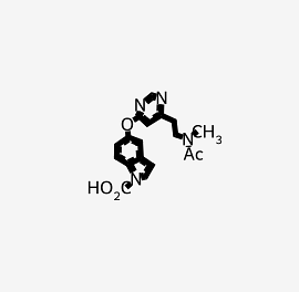 CC(=O)N(C)CCc1cc(Oc2ccc3c(ccn3C(=O)O)c2)ncn1